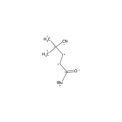 CC(C)(C#N)CCC(=O)C(C)(C)C